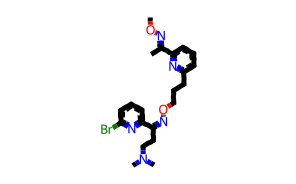 CO/N=C(\C)c1cccc(CCCON=C(CCN(C)C)c2cccc(Br)n2)n1